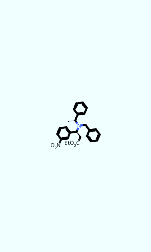 CCOC(=O)C[C@@H](c1cccc([N+](=O)[O-])c1)N(Cc1ccccc1)[C@H](C)c1ccccc1